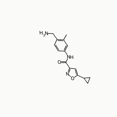 Cc1cc(NC(=O)c2cc(C3CC3)on2)ccc1CN